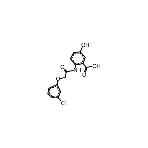 O=C(COc1cccc(Cl)c1)Nc1ccc(O)cc1C(=O)O